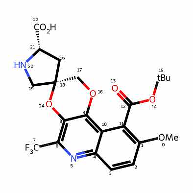 COc1ccc2nc(C(F)(F)F)c3c(c2c1C(=O)OC(C)(C)C)OC[C@@]1(CN[C@H](C(=O)O)C1)O3